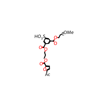 COCCCOC(=O)c1cc(C(=O)OCCCOC(=O)c2ccc(C(C)=O)o2)cc(S(=O)(=O)O)c1